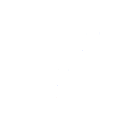 CSCCC(NC(=O)OC(C)(C)C)C(=O)NC1CCN(c2nc(C(C)C)ns2)CC1